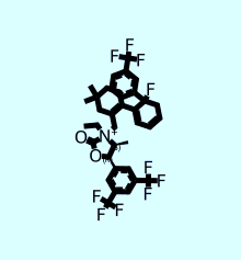 CC[N+]1(CC2=C(C3=CC=CCC3(F)c3cccc(C(F)(F)F)c3)CCC(C)(C)C2)C(=O)O[C@H](c2cc(C(F)(F)F)cc(C(F)(F)F)c2)[C@@H]1C